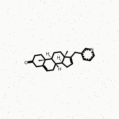 C[C@]12CCC(=O)CC1=CC[C@@H]1[C@@H]2CC[C@]2(C)C(Cc3cccnc3)=CC[C@@H]12